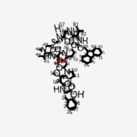 CC[C@H](C)[C@@H]([C@@H](CC(=O)N1CCC[C@H]1[C@H](OC)[C@@H](C)C(=O)N[C@@H](Cc1ccccc1)C(=O)O)OC)N(C)C(=O)[C@@H](NC(=O)[C@H](C(C)C)N(C)CCSCNC(=O)[C@H](C)NC(=O)[C@@H](NC(=O)OCC1c2ccccc2-c2ccccc21)C(C)C)C(C)C